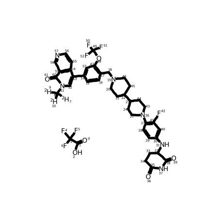 O=C(O)C(F)(F)F.[2H]C([2H])([2H])n1cc(-c2ccc(CN3CCC(C4CCN(c5ccc(NC6CCC(=O)NC6=O)cc5F)CC4)CC3)c(OC(F)(F)F)c2)c2ccncc2c1=O